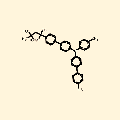 Cc1ccc(-c2ccc(N(c3ccc(C)cc3)c3ccc(-c4ccc(C(C)(C)CC(C)(C)C)cc4)cc3)cc2)cc1